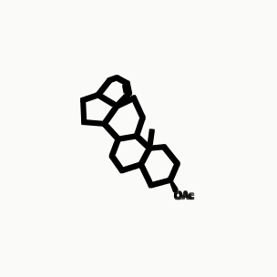 CC(=O)O[C@@H]1CCC2(C)C(CCC3C2CCC24C=CCCC2CCC34)C1